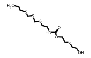 CCCSCSCSCCNC(=O)OCCSCCO